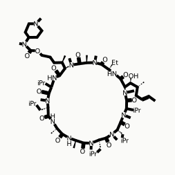 C/C=C/C[C@@H](C)[C@@H](O)[C@H]1C(=O)N[C@@H](CC)C(=O)N(C)[C@H](C)C(=O)N(C)[C@@H]([C@H](C)CCCOC(=O)N(C)C2CCN(C)CC2)C(=O)NC(C(C)C)C(=O)N(C)[C@@H](CC(C)C)C(=O)N[C@@H](C)C(=O)N[C@H](C)C(=O)N(C)[C@@H](CC(C)C)C(=O)N(C)[C@@H](CC(C)C)C(=O)N(C)C(C(C)C)C(=O)N1C